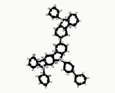 c1ccc(-c2ccc(-n3c4ccc(-c5ccc6c(c5)c5ccccc5n6-c5ccccc5)cc4c4cc5c6ccccc6n(-c6ccccc6)c5cc43)cc2)cc1